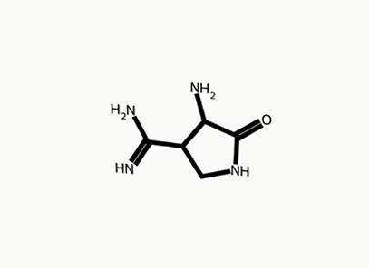 N=C(N)C1CNC(=O)C1N